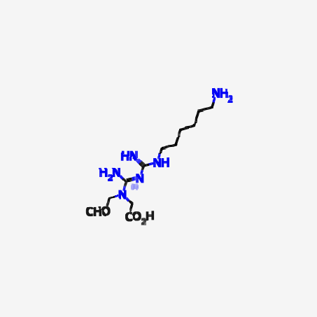 N=C(/N=C(\N)N(CC=O)CC(=O)O)NCCCCCCN